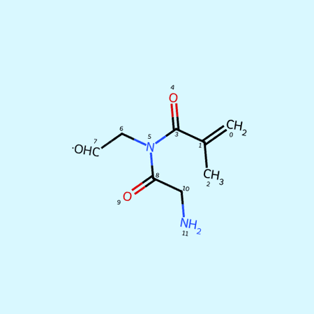 C=C(C)C(=O)N(C[C]=O)C(=O)CN